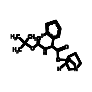 CC(C)(C)OC(=O)NC(C(=O)O[C@H]1CN2CCC1CC2)c1ccccc1F